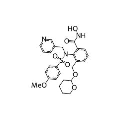 COc1ccc(S(=O)(=O)N(Cc2cccnc2)c2c(COC3CCCCO3)cccc2C(=O)NO)cc1